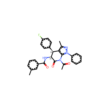 CC(=O)N1C(=O)[C@@H](NC(=O)c2cccc(C)c2)[C@@H](c2ccc(F)cc2)c2c(C)nn(-c3ccccc3)c21